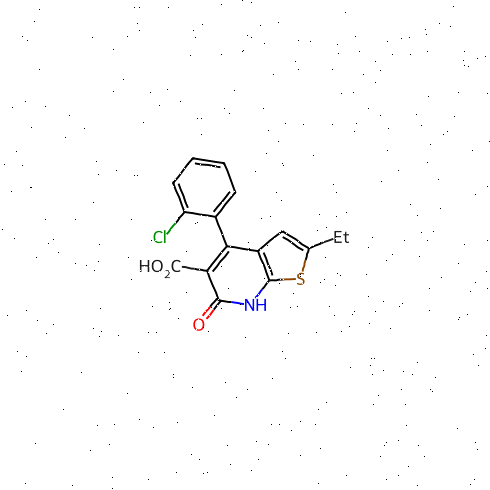 CCc1cc2c(-c3ccccc3Cl)c(C(=O)O)c(=O)[nH]c2s1